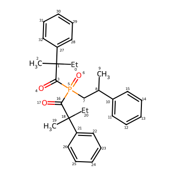 CCC(C)(C(=O)P(=O)(CC(C)c1ccccc1)C(=O)C(C)(CC)c1ccccc1)c1ccccc1